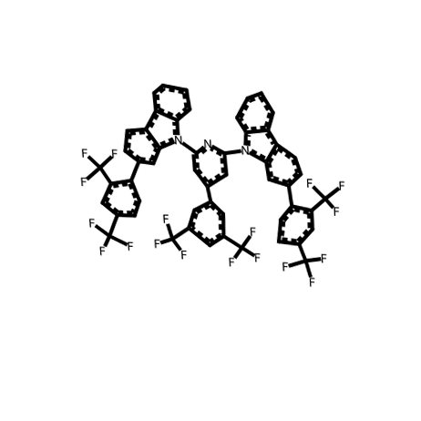 FC(F)(F)c1cc(-c2cc(-n3c4ccccc4c4ccc(-c5ccc(C(F)(F)F)cc5C(F)(F)F)cc43)nc(-n3c4ccccc4c4ccc(-c5ccc(C(F)(F)F)cc5C(F)(F)F)cc43)c2)cc(C(F)(F)F)c1